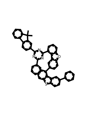 CC1(C)c2ccccc2-c2ccc(-c3nc(-c4ccccc4)nc(-c4cccc5oc6ccc(-c7cccc8sc9ccc(-c%10ccccc%10)cc9c78)cc6c45)n3)cc21